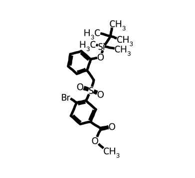 COC(=O)c1ccc(Br)c(S(=O)(=O)Cc2ccccc2O[Si](C)(C)C(C)(C)C)c1